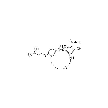 CN(C)CCOc1ccc2cc1CCCCCOCCNc1cc(O)c(C(N)=O)cc1S(=O)(=O)N2